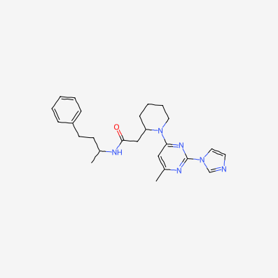 Cc1cc(N2CCCCC2CC(=O)NC(C)CCc2ccccc2)nc(-n2ccnc2)n1